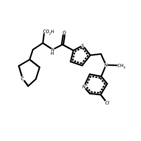 CN(Cc1ccc(C(=O)NC(CC2CCCCC2)C(=O)O)s1)c1cncc(Cl)c1